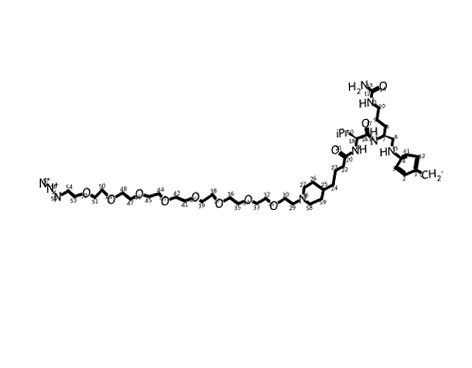 [CH2]c1ccc(NC[C@H](CCCNC(N)=O)NC(=O)[C@@H](NC(=O)CCCC2CCN(CCOCCOCCOCCOCCOCCOCCOCCOCCN=[N+]=[N-])CC2)C(C)C)cc1